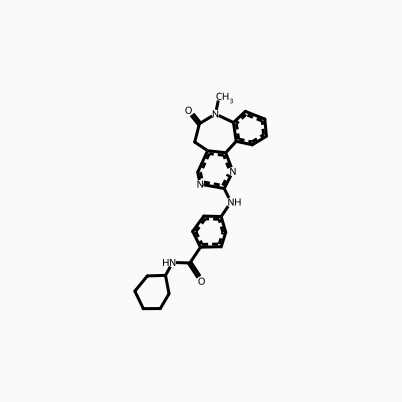 CN1C(=O)Cc2cnc(Nc3ccc(C(=O)NC4CCCCC4)cc3)nc2-c2ccccc21